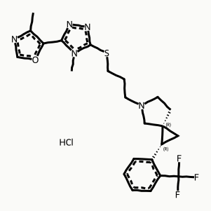 Cc1ncoc1-c1nnc(SCCCN2CC[C@@]3(C[C@@H]3c3ccccc3C(F)(F)F)C2)n1C.Cl